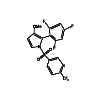 COc1ccn(S(=O)(=O)c2ccc(C(F)(F)F)nc2)c1-c1c(F)cc(F)cc1F